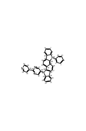 c1ccc(-n2c3ccccc3c3ccc4c(ccc5c6ccccc6n(-c6cnc(-c7ccncc7)nc6)c54)c32)cc1